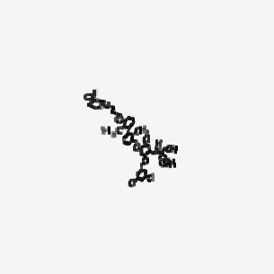 Cc1c(COc2cc(OCc3cc(Cl)cc(Cl)c3)c(CNC(CO)(CO)CO)cc2Cl)cccc1-c1cccc(OCCCN2CC[C@@H](OI)C2)c1C